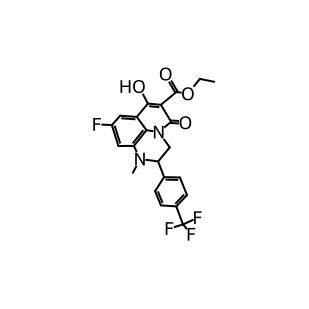 CCOC(=O)c1c(O)c2cc(F)cc3c2n(c1=O)CC(c1ccc(C(F)(F)F)cc1)N3C